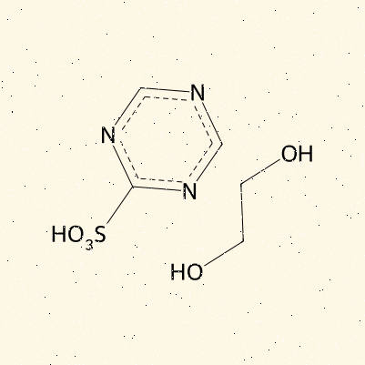 O=S(=O)(O)c1ncncn1.OCCO